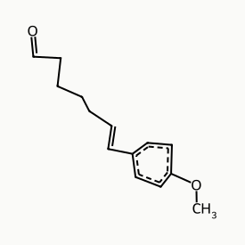 COc1ccc(C=CCCCCC=O)cc1